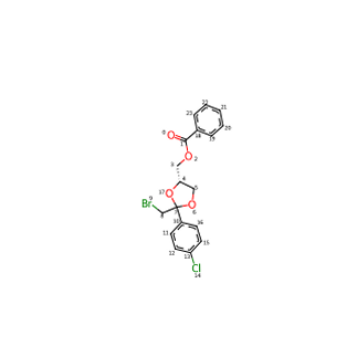 O=C(OC[C@@H]1COC(CBr)(c2ccc(Cl)cc2)O1)c1ccccc1